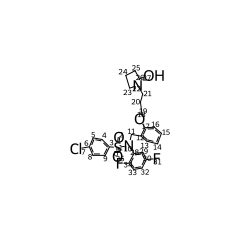 O=S(=O)(c1ccc(Cl)cc1)N(Cc1ccccc1OCCCN1CCCC1O)c1cc(F)ccc1F